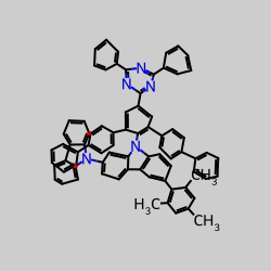 Cc1cc(C)c(-c2ccc3c(c2)c2ccc(-n4c5ccccc5c5ccccc54)cc2n3-c2c(-c3ccc(-c4ccccc4)cc3)cc(-c3nc(-c4ccccc4)nc(-c4ccccc4)n3)cc2-c2ccc(-c3ccccc3)cc2)c(C)c1